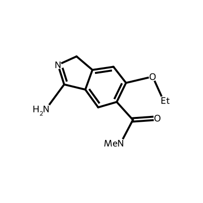 CCOc1cc2c(cc1C(=O)NC)C(N)=NC2